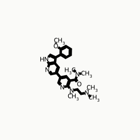 COc1ccccc1-c1c[nH]c2ncc(-c3cnc(N(C)CCN(C)C)c(C(=O)N(C)C)c3)cc12